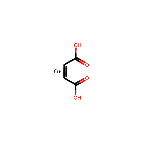 O=C(O)/C=C\C(=O)O.[Cu]